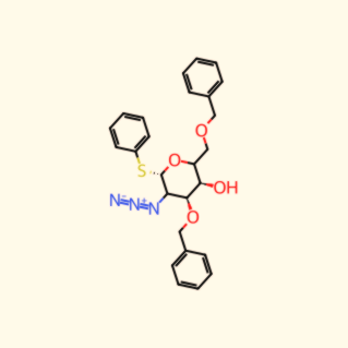 [N-]=[N+]=NC1[C@H](Sc2ccccc2)OC(COCc2ccccc2)[C@@H](O)[C@H]1OCc1ccccc1